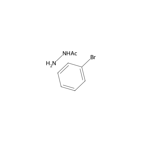 Brc1ccccc1.CC(=O)NN